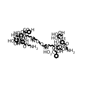 CCC1CC(C(=O)NCCN)C[C@@H](O[C@@H]2OC(CO)[C@H](O)C(O[C@@H](CC3CCCCC3)C(=O)O)C2NC(=O)CCCn2cc(COCCOCc3cn(CCCC(=O)NC4C(O[C@@H](CC5CCCCC5)C(=O)O)[C@@H](O)C(CO)O[C@H]4O[C@@H]4CC(C(=O)NCCN)CC(CC)C4O[C@@H]4OC(C)[C@@H](O)C(O)C4O)nn3)nn2)C1O[C@@H]1OC(C)[C@@H](O)C(O)C1O